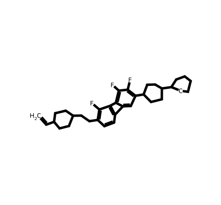 C=CC1CCC(CCc2ccc3c(c2F)-c2c-3cc(C3CCC(C4CCCCC4)CC3)c(F)c2F)CC1